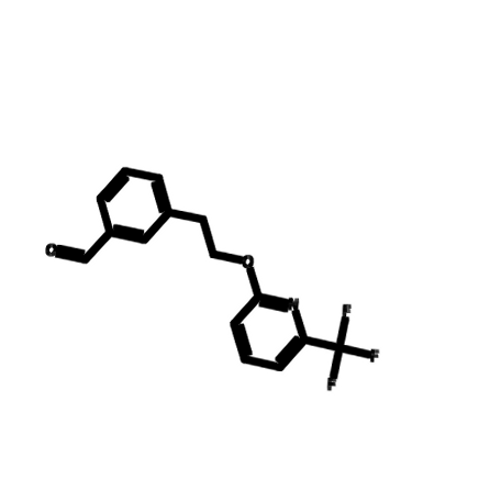 O=Cc1cccc(CCOc2cccc(C(F)(F)F)n2)c1